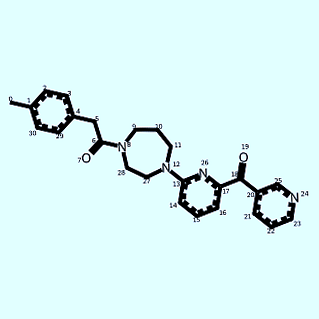 Cc1ccc(CC(=O)N2CCCN(c3cccc(C(=O)c4cccnc4)n3)CC2)cc1